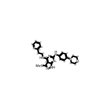 CSc1n[nH]c2nc(Nc3ccc(N4CCOCC4)cc3)nc(NCCc3ccccn3)c12